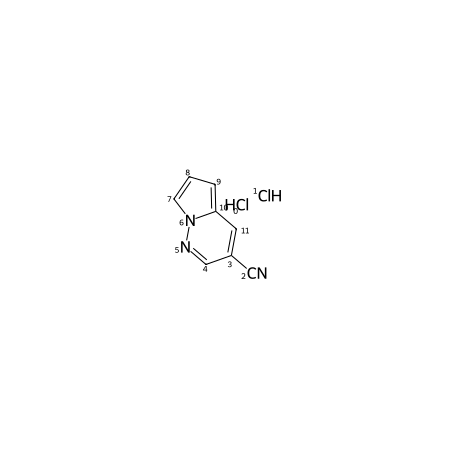 Cl.Cl.N#Cc1cnn2cccc2c1